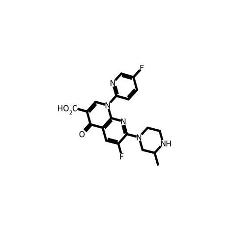 CC1CN(c2nc3c(cc2F)c(=O)c(C(=O)O)cn3-c2ccc(F)cn2)CCN1